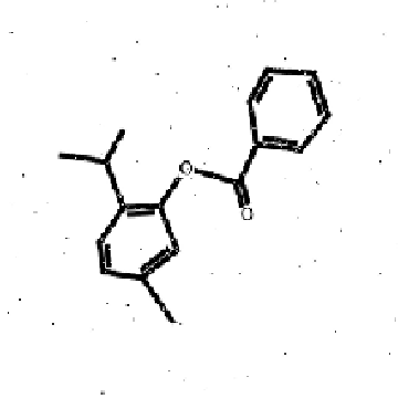 Cc1ccc(C(C)C)c(OC(=O)c2ccccc2)c1